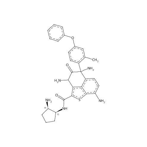 Cc1cc(Oc2ccccc2)ccc1C1(N)C(=O)C(N)c2c(C(=O)N[C@H]3CCC[C@H]3N)sc3c(N)ccc1c23